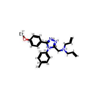 C=CCN(CC=C)Cc1nnc(-c2ccc(OCC)cc2)n1-c1ccc(C)cc1